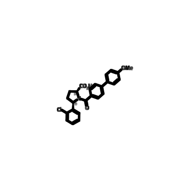 COc1ccc(-c2ccc(C(=O)N3[C@@H](c4ccccc4Cl)CC[C@H]3C(=O)O)cc2)cc1